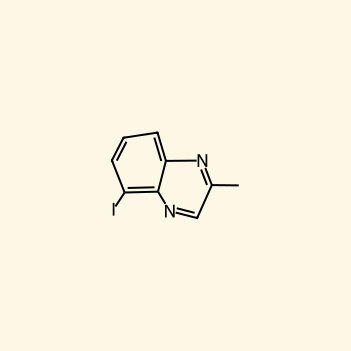 Cc1cnc2c(I)cccc2n1